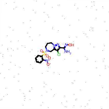 NC(=NO)c1nn2c(c1Cl)CN(S(=O)(=O)c1ccccc1[N+](=O)[O-])CCC2